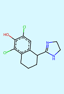 Oc1c(Cl)cc2c(c1Cl)CCCC2C1=NCCN1